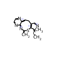 C=C=C/C1=C(\C=N/C)C/C=c2/nccn/c2=N/C(=C)S1